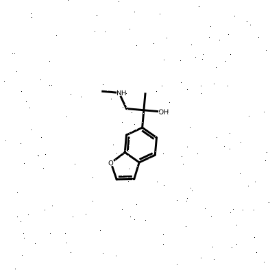 CNCC(C)(O)c1ccc2ccoc2c1